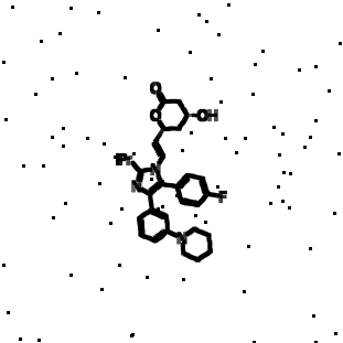 CC(C)c1nc(-c2cccc(N3CCCCC3)c2)c(-c2ccc(F)cc2)n1/C=C/[C@@H]1C[C@@H](O)CC(=O)O1